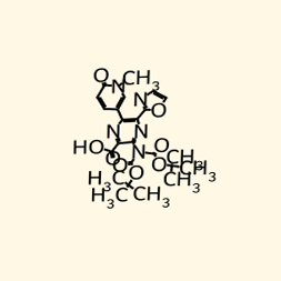 Cn1cc(-c2nc(C(=O)O)c(N(C(=O)OC(C)(C)C)C(=O)OC(C)(C)C)nc2-c2ncco2)ccc1=O